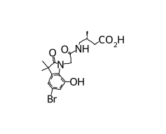 C[C@H](CNC(=O)CN1C(=O)C(C)(C)c2cc(Br)cc(O)c21)CC(=O)O